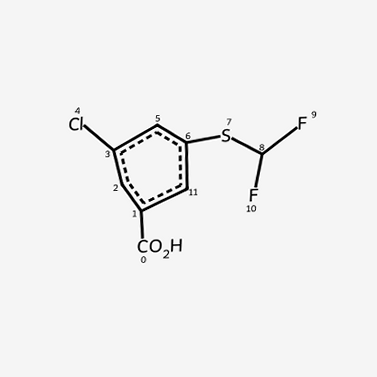 O=C(O)c1cc(Cl)cc(SC(F)F)c1